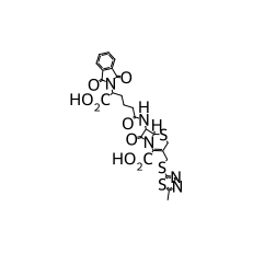 Cc1nnc(SCC2=C(C(=O)O)N3C(=O)[C@@H](NC(=O)CCCC(C(=O)O)N4C(=O)c5ccccc5C4=O)[C@@H]3SC2)s1